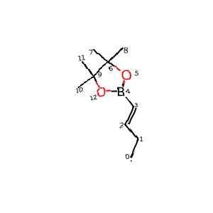 [CH2]CC=CB1OC(C)(C)C(C)(C)O1